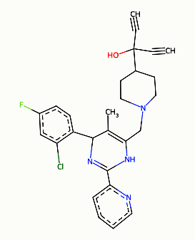 C#CC(O)(C#C)C1CCN(CC2=C(C)C(c3ccc(F)cc3Cl)N=C(c3ccccn3)N2)CC1